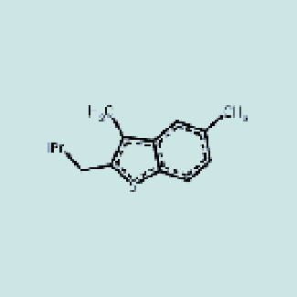 Cc1ccc2sc(CC(C)C)c(C)c2c1